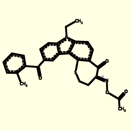 CCn1c2ccc(C(=O)c3ccccc3C)cc2c2c3c(ccc21)C(=O)/C(=N/OC(C)=O)CCS3